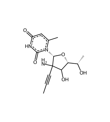 CC#CC1(N)C(O)[C@@H]([C@H](C)O)O[C@H]1n1c(C)cc(=O)[nH]c1=O